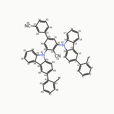 Cc1ccccc1-c1ccc2c(c1)c1ccccc1n2-c1cc(-c2cccc(C#N)c2)cc(-n2c3ccccc3c3cc(-c4ccccc4C)ccc32)c1C#N